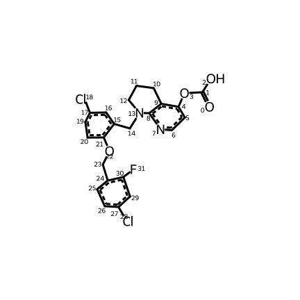 O=C(O)Oc1ccnc2c1CCCN2Cc1cc(Cl)ccc1OCc1ccc(Cl)cc1F